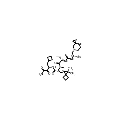 CC(C)(C)[C@H](NC(=O)N[C@H](CN1CCNC2(CC2)C1)C(C)(C)C)C(=O)N1C[C@]2(C[C@H]1C(=O)NC(CC1CCC1)C(=O)C(N)=O)C(C)(C)C21CCC1